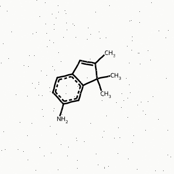 CC1=Cc2ccc(N)cc2C1(C)C